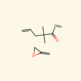 C=C1CO1.C=CCC(C)(C)C(=O)OC